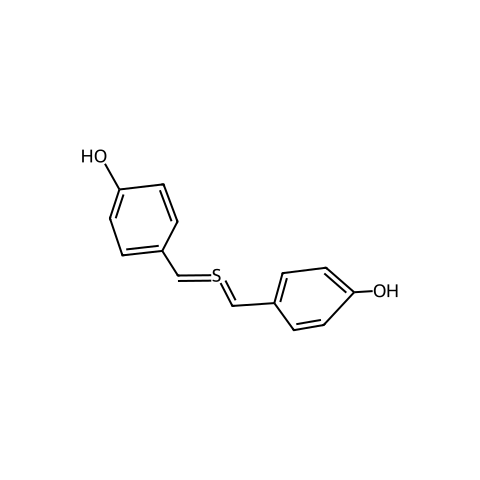 Oc1ccc(C=S=Cc2ccc(O)cc2)cc1